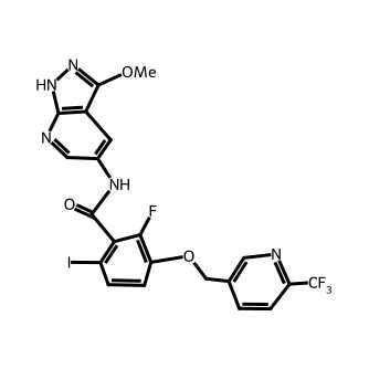 COc1n[nH]c2ncc(NC(=O)c3c(I)ccc(OCc4ccc(C(F)(F)F)nc4)c3F)cc12